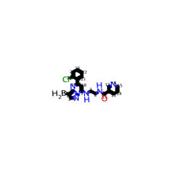 Bc1cnn2c(NCCNC(=O)c3cccnc3)cc(-c3ccccc3Cl)nc12